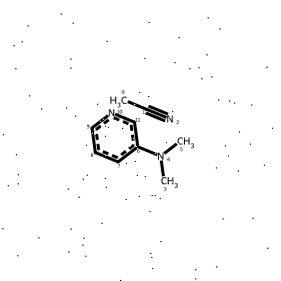 CC#N.CN(C)c1cccnc1